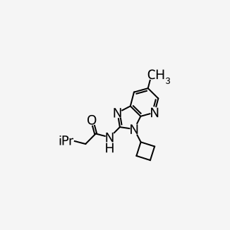 Cc1cnc2c(c1)nc(NC(=O)CC(C)C)n2C1CCC1